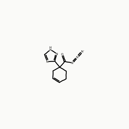 [N-]=[N+]=NC(=O)C1(c2nc[nH]n2)CC=CCC1